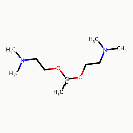 CN(C)CCO[SiH](C)OCCN(C)C